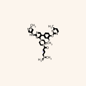 Cc1ccnc(Oc2ccc(-c3cnc(Nc4cnn(C)c4)nc3N3CCN(C(=O)/C=C/CN(C)C)[C@H](C)C3)cc2F)n1